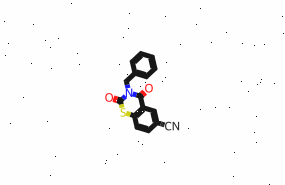 N#Cc1ccc2sc(=O)n(Cc3ccccc3)c(=O)c2c1